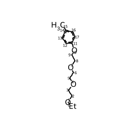 CCOCCOCCOCCOc1ccc(C)cc1